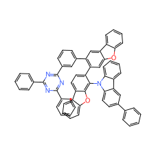 c1ccc(-c2ccc3c(c2)c2ccccc2n3-c2c(-c3cc4oc5ccccc5c4cc3-c3cccc(-c4nc(-c5ccccc5)nc(-c5ccccc5)n4)c3)ccc3c2oc2ccccc23)cc1